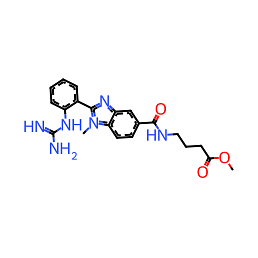 COC(=O)CCCNC(=O)c1ccc2c(c1)nc(-c1ccccc1NC(=N)N)n2C